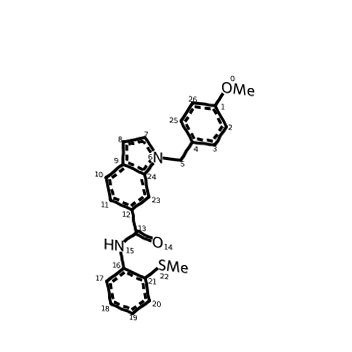 COc1ccc(Cn2ccc3ccc(C(=O)Nc4ccccc4SC)cc32)cc1